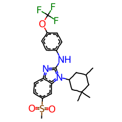 CC1CC(n2c(Nc3ccc(OC(F)(F)F)cc3)nc3ccc(S(C)(=O)=O)cc32)CC(C)(C)C1